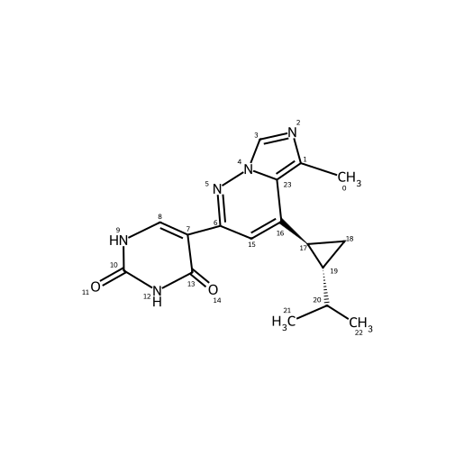 Cc1ncn2nc(-c3c[nH]c(=O)[nH]c3=O)cc([C@H]3C[C@@H]3C(C)C)c12